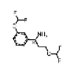 N[C@@H](CCOC(F)F)c1cccc(OC(F)F)c1